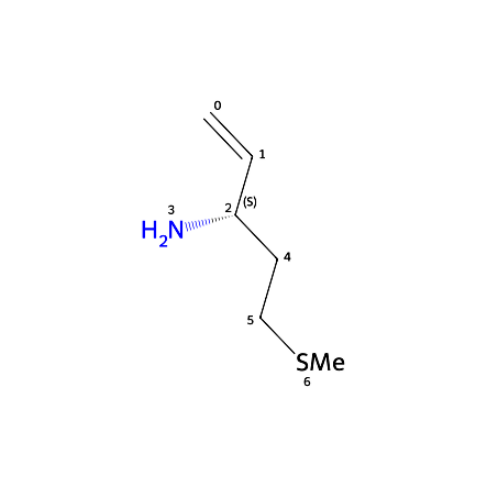 C=C[C@@H](N)CCSC